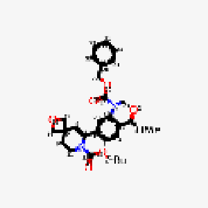 COC(=O)c1ccc(C2=CC3(CCN2C(=O)OC(C)(C)C)COC3)cc1N(C)C(=O)OCc1ccccc1